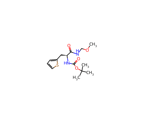 COCNC(=O)[C@H](Cc1cccs1)NC(=O)OC(C)(C)C